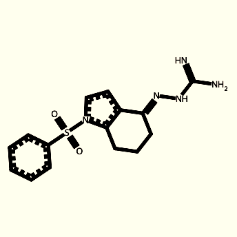 N=C(N)NN=C1CCCc2c1ccn2S(=O)(=O)c1ccccc1